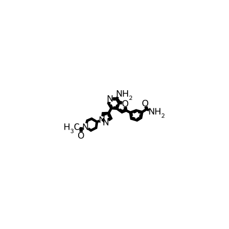 CC(=O)N1CCC(n2cc(-c3cnc(N)c4oc(-c5cccc(C(N)=O)c5)cc34)cn2)CC1